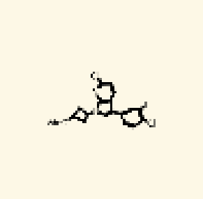 COC1CC(n2cc(-c3ccc(Cl)c(F)c3)c3ccc(Cl)nc32)C1